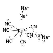 N#[C][Ru-4]([C]#N)([C]#N)([C]#N)([C]#N)[C]#N.[Na+].[Na+].[Na+].[Na+]